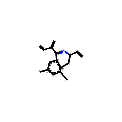 C=CC(=C)C1=NC(C=C)Cc2c(C)cc(C)cc21